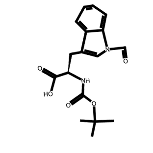 CC(C)(C)OC(=O)N[C@H](Cc1cn(C=O)c2ccccc12)C(=O)O